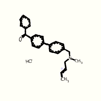 C/C=C/CN(C)Cc1ccc(-c2ccc(C(=O)c3ccccc3)cc2)cc1.Cl